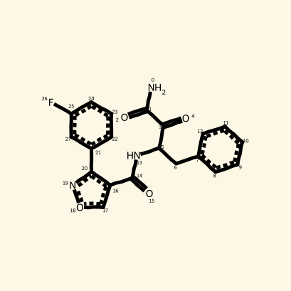 NC(=O)C(=O)C(Cc1ccccc1)NC(=O)c1conc1-c1cccc(F)c1